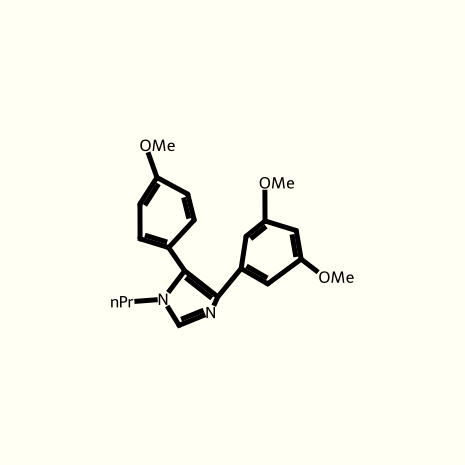 CCCn1cnc(-c2cc(OC)cc(OC)c2)c1-c1ccc(OC)cc1